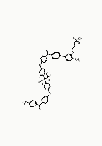 Cc1ccc(C(=O)c2ccc(Oc3ccc(C(c4ccc(Oc5ccc(C(=O)c6ccc(-c7ccc(C)c(OCCCS(=O)(=O)O)c7)cc6)cc5)cc4)(C(F)(F)F)C(F)(F)F)cc3)cc2)cc1